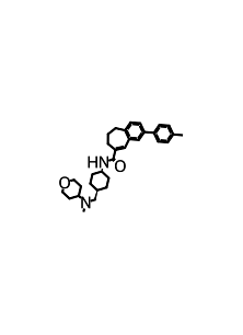 Cc1ccc(-c2ccc3c(c2)C=C(C(=O)N[C@H]2CC[C@H](CN(C)C4CCOCC4)CC2)CCC3)cc1